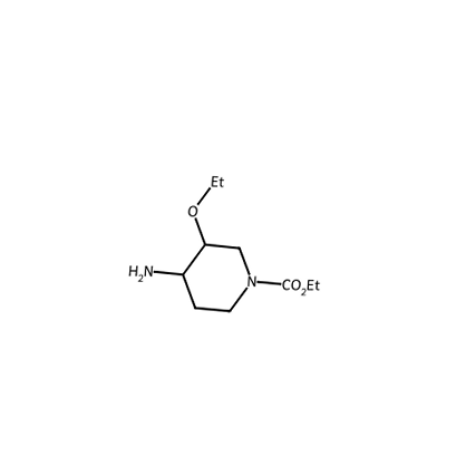 CCOC(=O)N1CCC(N)C(OCC)C1